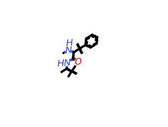 CNC(C(=O)NC(C)C(C)(C)C)C(C)(C)c1ccccc1